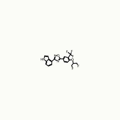 FCC(CF)Oc1ccc(-c2nc(-c3cccc4[nH]ccc34)no2)cc1C(F)(F)F